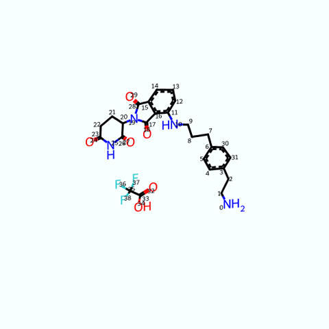 NCCc1ccc(CCCNc2cccc3c2C(=O)N(C2CCC(=O)NC2=O)C3=O)cc1.O=C(O)C(F)(F)F